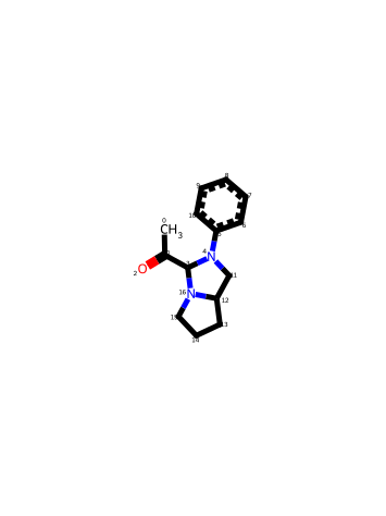 CC(=O)C1N(c2ccccc2)CC2CCCN21